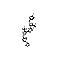 O=C(OC(=O)c1cn(Cc2ccc(N3CCCC3)nc2)nc1C(F)(F)F)c1cn(Cc2ccc(F)nc2)nc1C(F)(F)F